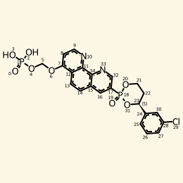 O=P(O)(O)OCOc1ccnc2c1ccc1cc(P3(=O)OCC[C@@H](c4cccc(Cl)c4)O3)cnc12